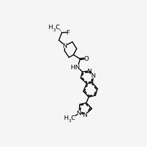 C[C@H](F)CN1CCC(C(=O)Nc2cc3cc(-c4cnn(C)c4)ccc3nn2)CC1